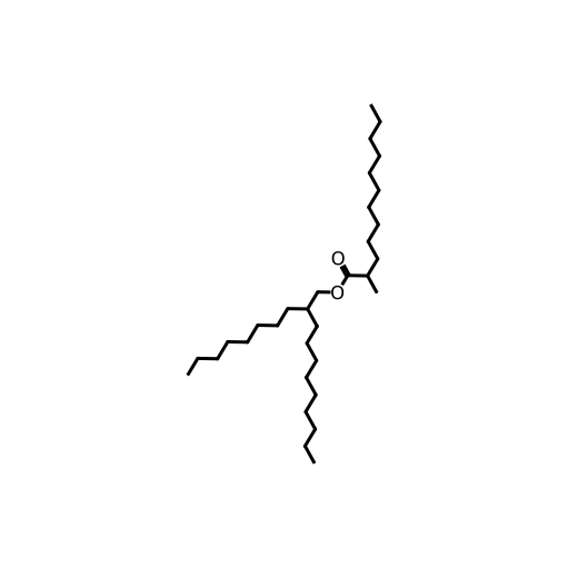 CCCCCCCCCCC(C)C(=O)OCC(CCCCCCCC)CCCCCCCCC